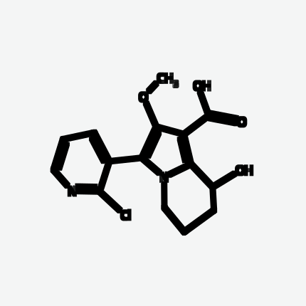 COc1c(C(=O)O)c2n(c1-c1cccnc1Cl)CCCC2O